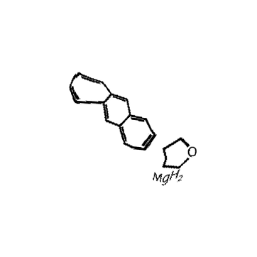 C1CCOC1.[MgH2].c1ccc2cc3ccccc3cc2c1